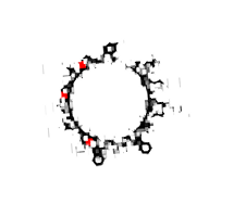 CCCC[C@H]1C(=O)N[C@@H](CCCN)C(=O)NC(C(=O)NCC(N)=O)CSCC(=O)N[C@@H](Cc2ccc(O)cc2)C(=O)N2CCOC[C@H]2C(=O)N[C@@H](CC(N)=O)C(=O)N2CCC[C@H]2C(=O)N[C@@H](CN)C(=O)N[C@@H](CC(C)C)C(=O)N2C[C@H](O)C[C@H]2C(=O)N[C@@H](Cc2c[nH]c3ccccc23)C(=O)N[C@@H](CO)C(=O)N[C@@H](Cc2c[nH]c3ccccc23)c2nnnn2[C@@H](CCCC)C(=O)N1C